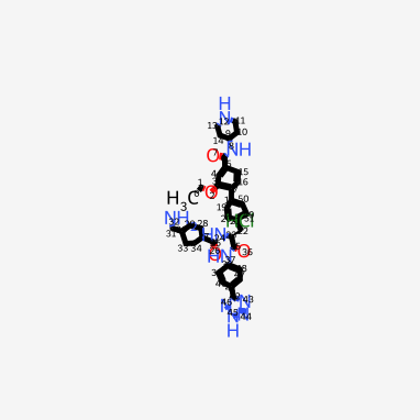 CCOc1cc(C(=O)NC2CCNCC2)ccc1-c1ccc(C[C@H](NC(=O)C2CCC(CN)CC2)C(=O)Nc2ccc(-c3nn[nH]n3)cc2)cc1.Cl